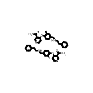 Cc1cc(CNCCc2ccccc2)ccc1Oc1ccncc1C(N)=O.NC(=O)c1cnccc1Oc1ccc(CNCCc2ccccc2)cc1F